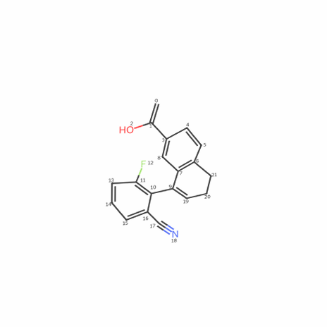 C=C(O)c1ccc2c(c1)C(c1c(F)cccc1C#N)=CCC2